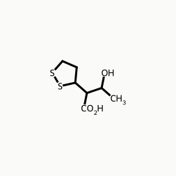 CC(O)C(C(=O)O)C1CCSS1